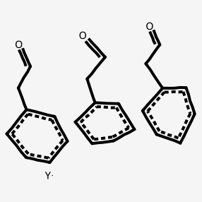 O=CCc1ccccc1.O=CCc1ccccc1.O=CCc1ccccc1.[Y]